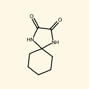 O=C1NC2(CCCCC2)NC1=O